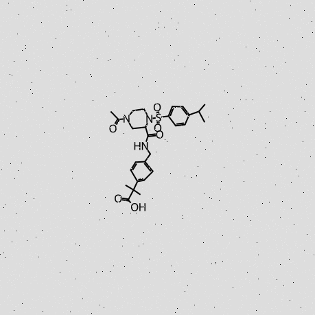 CC(=O)N1CCN(S(=O)(=O)c2ccc(C(C)C)cc2)C(C(=O)NCc2ccc(C(C)(C)C(=O)O)cc2)C1